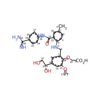 Cc1ccc(NCc2cc([C@H](O)CO)cc(OC(C)C)c2OCC(=O)O)c(C(=O)Nc2ccc(C(=N)N)cc2)c1